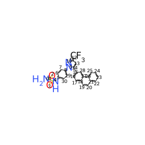 NS(=O)(=O)Nc1ccc(-n2nc(C(F)(F)F)cc2-c2ccc3ccc4ccccc4c3c2)cc1